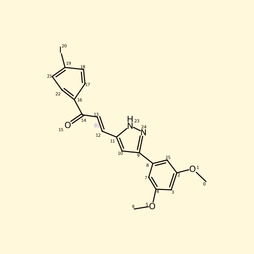 COc1cc(OC)cc(-c2cc(/C=C/C(=O)c3ccc(I)cc3)[nH]n2)c1